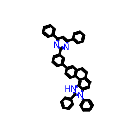 c1ccc(-c2cc(-c3ccccc3)nc(-c3cccc(-c4ccc5c(ccc6ccc7c(c65)NC(c5ccccc5)N7c5ccccc5)c4)c3)n2)cc1